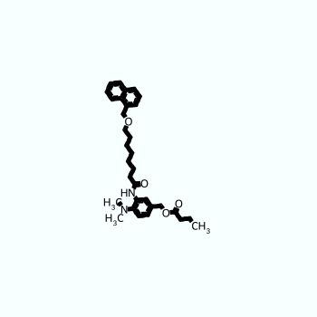 CCCC(=O)OCc1ccc(N(C)C)c(NC(=O)CCCCCCCOCc2cccc3ccccc23)c1